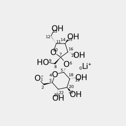 [Li+].[O-]C[C@H]1O[C@H](O[C@]2(CO)O[C@H](CO)[C@@H](O)[C@@H]2O)[C@H](O)[C@@H](O)[C@@H]1O